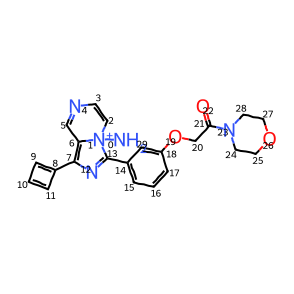 N[N+]12C=CN=CC1=C(C1=CC=C1)N=C2c1cccc(OCC(=O)N2CCOCC2)c1